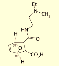 CCN(C)CCNC(=O)C1C(C(=O)O)[C@H]2C=C[C@@H]1O2